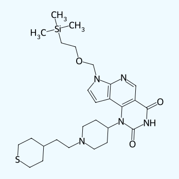 C[Si](C)(C)CCOCn1ccc2c1ncc1c(=O)[nH]c(=O)n(C3CCN(CCC4CCSCC4)CC3)c12